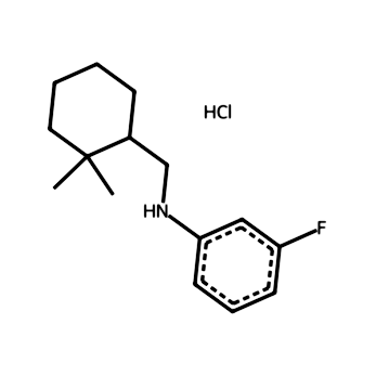 CC1(C)CCCCC1CNc1cccc(F)c1.Cl